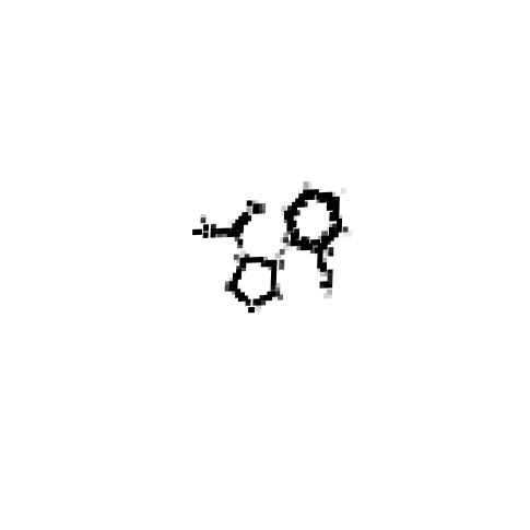 O=C(O)[C@H]1CNC[C@H]1c1ccccc1Cl